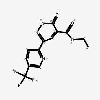 CCOC(=O)c1cc(-c2ccc(C(F)(F)F)cn2)n[nH]c1=O